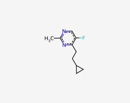 Cc1ncc(F)c(CCC2CC2)n1